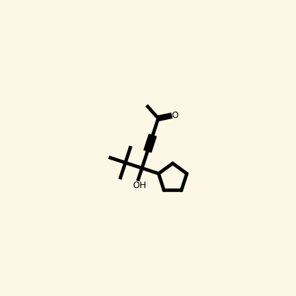 CC(=O)C#CC(O)(C1CCCC1)C(C)(C)C